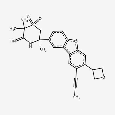 CC#Cc1cc2c(cc1C1COC1)sc1ccc([C@]3(C)CS(=O)(=O)C(C)(C)C(=N)N3)cc12